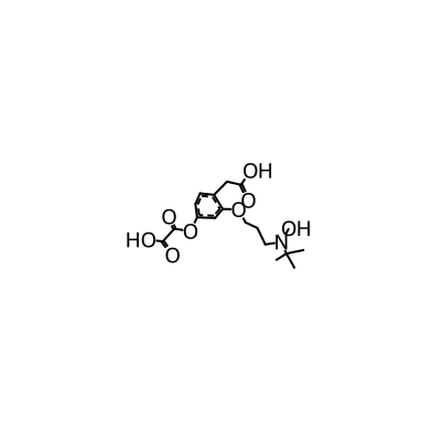 CC(C)(C)N(O)CCCOc1cc(OC(=O)C(=O)O)ccc1CC(=O)O